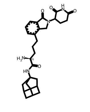 N[C@@H](CCCc1cccc2c1CN(C1CCC(=O)NC1=O)C2=O)C(=O)NC12CC3CC4CC(C1)C43C2